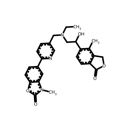 CCN(Cc1ccc(-c2ccc3oc(=O)n(C)c3c2)nc1)CC(O)c1ccc2c(c1C)COC2=O